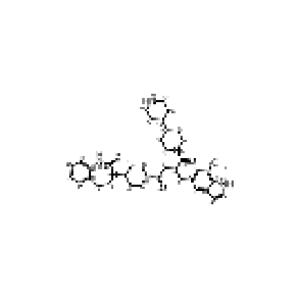 Cc1cc(CC(CC(=O)N2CCC(N3CCc4ccccc4NC3=O)CC2)C(=O)N2CCC(C3CCNCC3)CC2)cc2cc[nH]c12